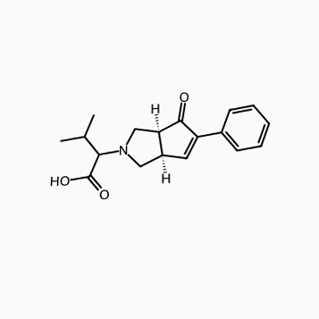 CC(C)C(C(=O)O)N1C[C@@H]2C=C(c3ccccc3)C(=O)[C@@H]2C1